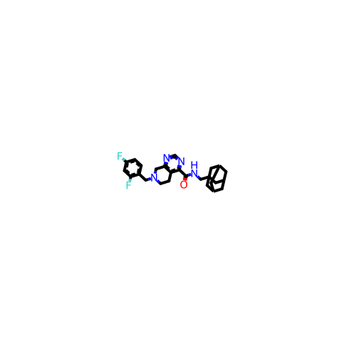 O=C(NCC12CC3CC(CC(C3)C1)C2)c1ncnc2c1CCN(Cc1ccc(F)cc1F)C2